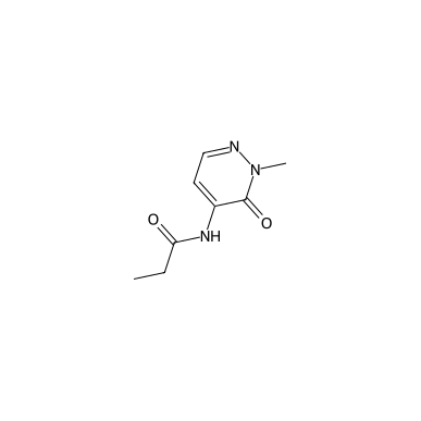 CCC(=O)Nc1ccnn(C)c1=O